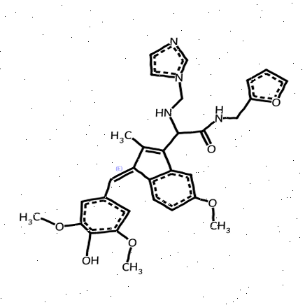 COc1ccc2c(c1)C(C(NCn1ccnc1)C(=O)NCc1ccco1)=C(C)/C2=C/c1cc(OC)c(O)c(OC)c1